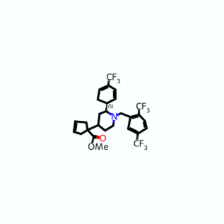 COC(=O)C1(C2CCN(Cc3cc(C(F)(F)F)ccc3C(F)(F)F)C([C@@H]3C=CC(C(F)(F)F)=CC3)C2)CC=CC1